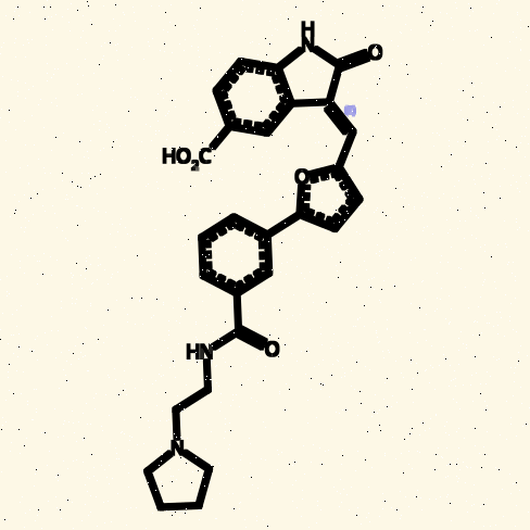 O=C1Nc2ccc(C(=O)O)cc2/C1=C\c1ccc(-c2cccc(C(=O)NCCN3CCCC3)c2)o1